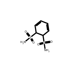 NS(=O)(=O)[C]1C=CC=CC1S(N)(=O)=O